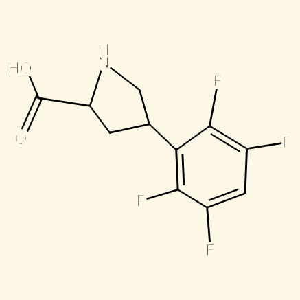 O=C(O)C1CC(c2c(F)c(F)cc(F)c2F)CN1